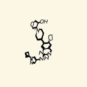 OC1COC[C@H]1N1CCC(c2cc3nc(Nc4cnn(C56CC(C5)C6)c4)ncc3cc2Cl)CC1